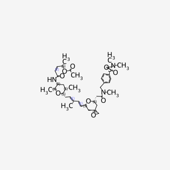 CC(=O)O[C@@H](C)/C=C\C(=O)N[C@@H]1C[C@H](C)[C@H](C/C=C(C)/C=C/[C@@H]2C[C@]3(CO3)C[C@@H](CC(=O)N(C)Cc3ccc(S(=O)(=O)N(C)C)cc3)O2)O[C@@H]1C